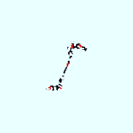 NC(=O)c1c(C2=CCC(Oc3ccccc3)C=C2)nn2c1NCC[C@H]2C1CCN(C(=O)COCCOCCOCCOCCNC(=O)COc2cccc3c2CN(C2CCC(=O)NC2=O)C3=O)CC1